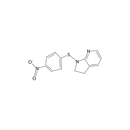 O=[N+]([O-])c1ccc(SN2CCc3cccnc32)cc1